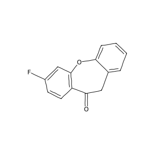 O=C1Cc2ccccc2Oc2cc(F)ccc21